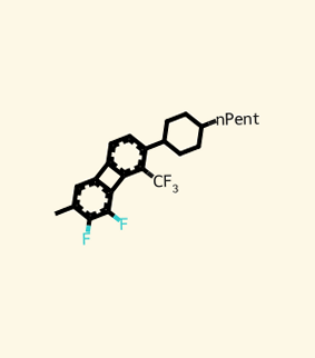 CCCCCC1CCC(c2ccc3c(c2C(F)(F)F)-c2c-3cc(C)c(F)c2F)CC1